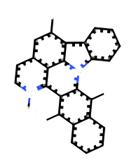 Cc1cc2cc[n+](C)c3c4c(C)c5ccccc5c(C)c4n4c5ccccc5c1c4c23